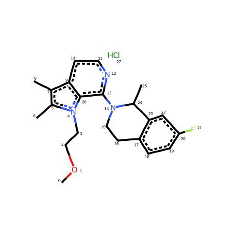 COCCn1c(C)c(C)c2ccnc(N3CCc4ccc(F)cc4C3C)c21.Cl